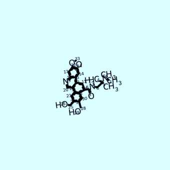 CN(C)C(C)(C)CNC(=O)c1cc2c3cc4c(cc3ncc2c2cc(CO)c(CO)cc12)OCO4